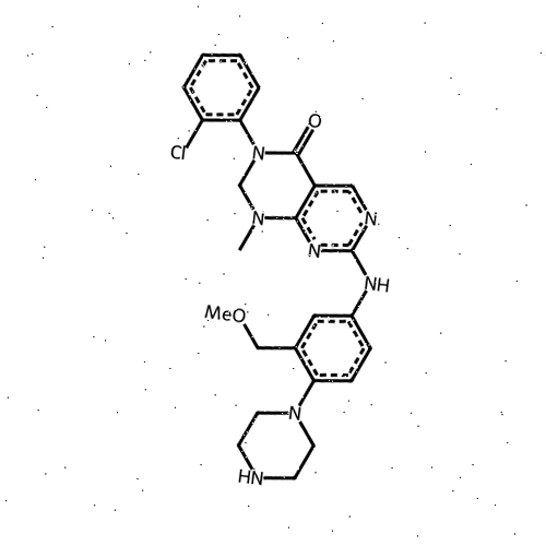 COCc1cc(Nc2ncc3c(n2)N(C)CN(c2ccccc2Cl)C3=O)ccc1N1CCNCC1